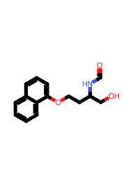 O=CNC(CO)CCOc1cccc2ccccc12